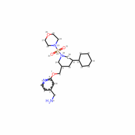 NCc1ccnc(OCC2CC(C3CCCCC3)CN(S(=O)(=O)N3CCOCC3)C2)c1